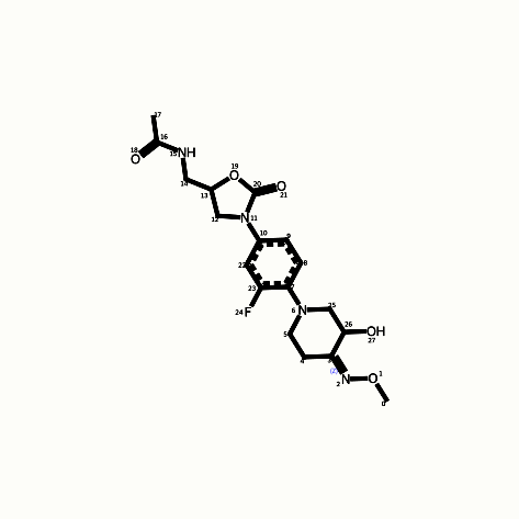 CO/N=C1/CCN(c2ccc(N3CC(CNC(C)=O)OC3=O)cc2F)CC1O